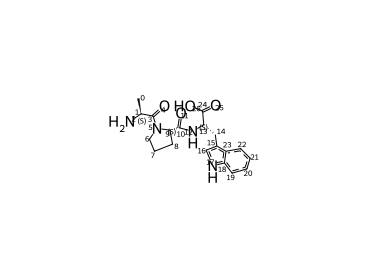 C[C@H](N)C(=O)N1CCC[C@H]1C(=O)N[C@@H](Cc1c[nH]c2ccccc12)C(=O)O